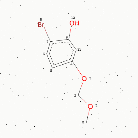 COCOc1ccc(Br)c(O)c1